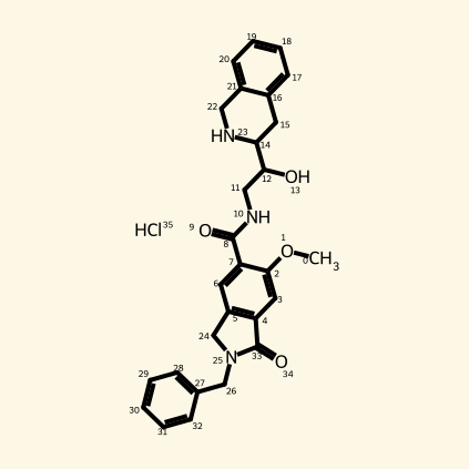 COc1cc2c(cc1C(=O)NCC(O)C1Cc3ccccc3CN1)CN(Cc1ccccc1)C2=O.Cl